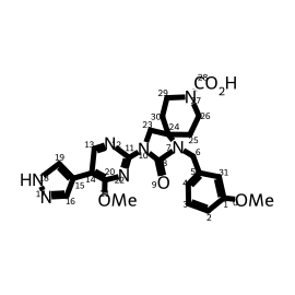 COc1cccc(CN2C(=O)N(c3ncc(-c4cn[nH]c4)c(OC)n3)CC23CCN(C(=O)O)CC3)c1